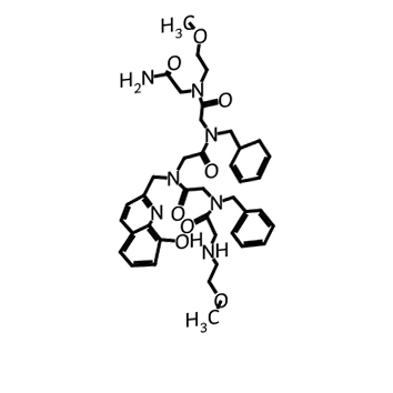 COCCNCC(=O)N(CC(=O)N(CC(=O)N(CC(=O)N(CCOC)CC(N)=O)CC1C=CC=CC1)Cc1ccc2cccc(O)c2n1)Cc1ccccc1